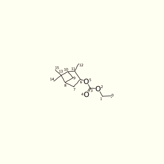 [CH2]COC(=O)OC1CC2CC(C1C)C2(C)C